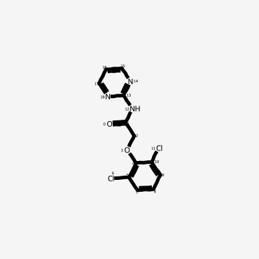 O=C(COc1c(Cl)cccc1Cl)Nc1ncccn1